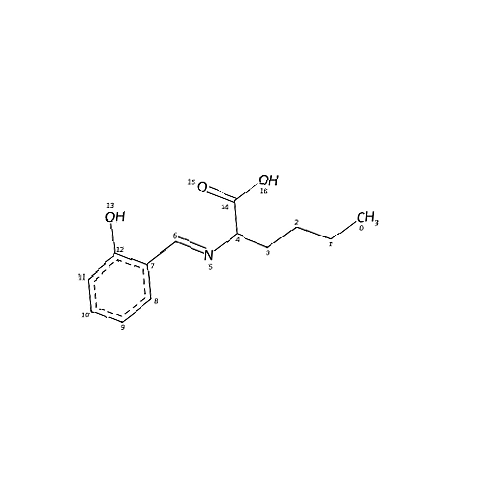 CCCCC(N=Cc1ccccc1O)C(=O)O